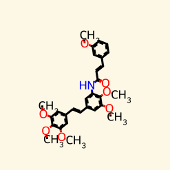 COc1cccc(/C=C/C(=O)Nc2cc(C=Cc3cc(OC)c(OC)c(OC)c3)cc(OC)c2OC)c1